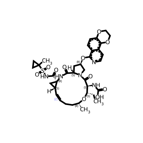 CC[C@@H]1O[C@H](C)CC/C=C\[C@@H]2C[C@@]2(C(=O)NS(=O)(=O)C2(C)CC2)NC(=O)[C@@H]2C[C@@H](Oc3nccc4c5c(ccc34)OCCO5)CN2C(=O)[C@H]1NC(=O)O